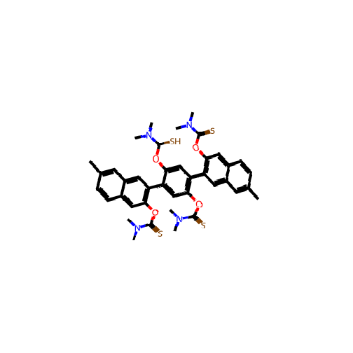 Cc1ccc2cc(OC(=S)N(C)C)c(-c3cc(OC(S)N(C)C)c(-c4cc5cc(C)ccc5cc4OC(=S)N(C)C)cc3OC(=S)N(C)C)cc2c1